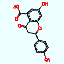 O=C(O)c1cc(O)cc2c1C(=O)CC(c1ccc(O)cc1)O2